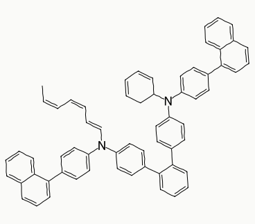 C\C=C/C=C\C=C\N(c1ccc(-c2ccccc2-c2ccc(N(c3ccc(-c4cccc5ccccc45)cc3)C3C=CC=CC3)cc2)cc1)c1ccc(-c2cccc3ccccc23)cc1